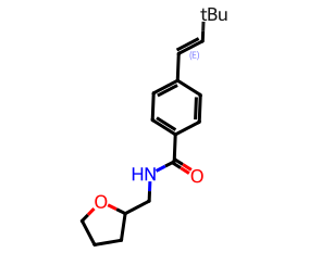 CC(C)(C)/C=C/c1ccc(C(=O)NCC2CCCO2)cc1